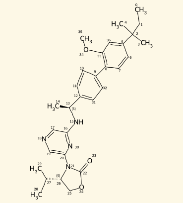 CCC(C)(C)c1ccc(-c2ccc([C@H](C)Nc3cncc(N4C(=O)OC[C@@H]4C(C)C)n3)cc2)c(OC)c1